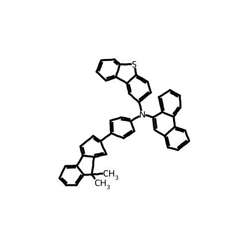 CC1(C)c2ccccc2-c2ccc(-c3ccc(N(c4ccc5sc6ccccc6c5c4)c4cc5ccccc5c5ccccc45)cc3)cc21